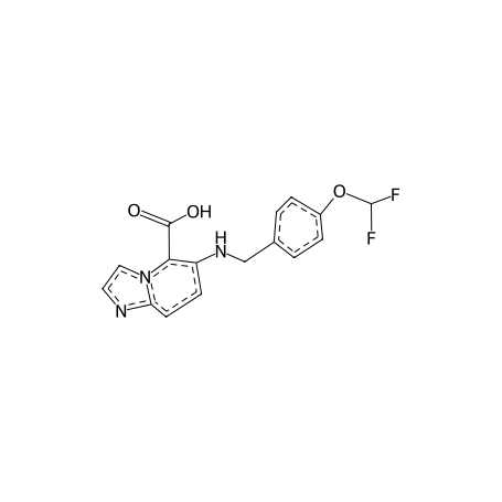 O=C(O)c1c(NCc2ccc(OC(F)F)cc2)ccc2nccn12